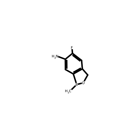 CB1OCc2cc(F)c(N)cc21